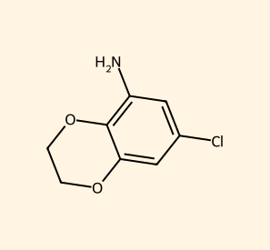 Nc1cc(Cl)cc2c1OCCO2